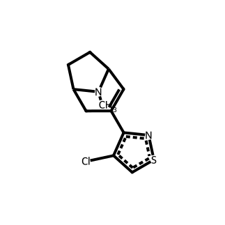 CN1C2C=C(c3nscc3Cl)CC1CC2